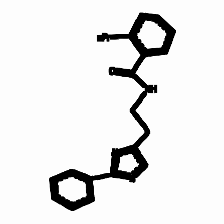 CCCc1ccccc1C(=O)NCCc1csc(-c2ccccc2)n1